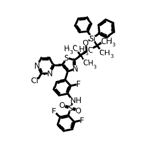 CC(C)(CO[Si](c1ccccc1)(c1ccccc1)C(C)(C)C)c1nc(-c2cccc(NS(=O)(=O)c3c(F)cccc3F)c2F)c(-c2ccnc(Cl)n2)s1